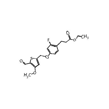 CCOC(=O)CCc1ccc(OCc2cc(OC)c(C=O)s2)cc1F